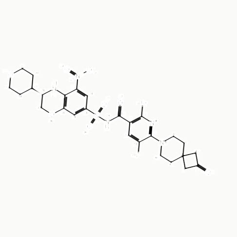 O=C1CC2(CCN(c3nc(Br)c(C(=O)NS(=O)(=O)c4cc5c(c([N+](=O)[O-])c4)N[C@H](C4CCOCC4)CO5)cc3F)CC2)C1